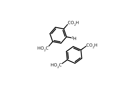 O=C(O)c1ccc(C(=O)O)cc1.[2H]c1cc(C(=O)O)ccc1C(=O)O